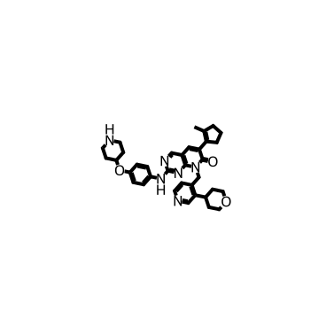 CC1=C(c2cc3cnc(Nc4ccc(OC5CCNCC5)cc4)nc3n(Cc3ccncc3C3CCOCC3)c2=O)CCC1